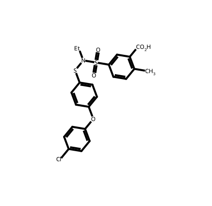 CCN(Sc1ccc(Oc2ccc(Cl)cc2)cc1)S(=O)(=O)c1ccc(C)c(C(=O)O)c1